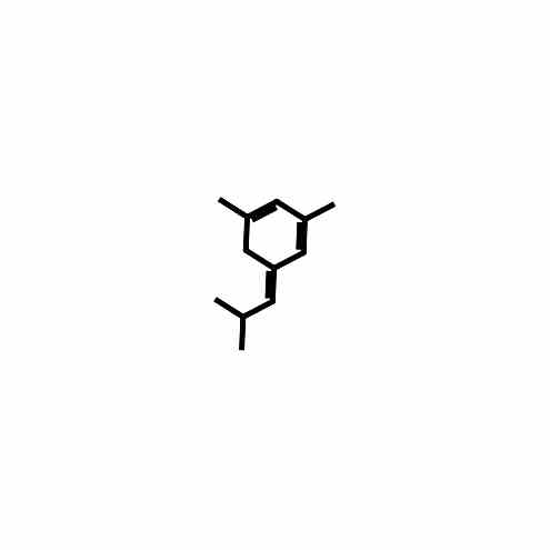 CC1=CC(=CC(C)C)CC(C)=C1